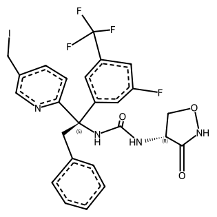 O=C(N[C@@H]1CONC1=O)N[C@@](Cc1ccccc1)(c1cc(F)cc(C(F)(F)F)c1)c1ccc(CI)cn1